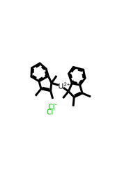 CC1=C(C)[C](C)([U+2][C]2(C)C(C)=C(C)c3ccccc32)c2ccccc21.[Cl-].[Cl-]